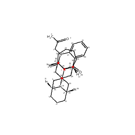 CC(=O)Cn1c(=O)n(C2C[C@H]3CCC[C@@H](C2)N3C2C[C@H]3CCCC[C@@H](C2)C3)c(=O)c2ccccc21